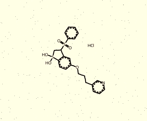 Cl.O=S(=O)(c1ccccc1)C1CS(O)(O)c2ccc(OCCCc3cccnc3)cc21